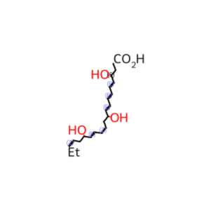 CC/C=C\CC(O)/C=C/C=C\CC(O)/C=C/C=C/C=C/[C@@H](O)CCC(=O)O